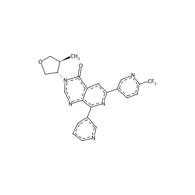 C[C@@H]1COC[C@H]1n1cnc2c(-c3cccnc3)nc(-c3ccc(C(F)(F)F)nc3)cc2c1=O